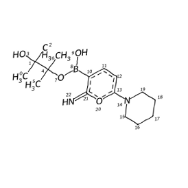 CC(C)(O)C(C)(C)OB(O)c1ccc(N2CCCCC2)oc1=N